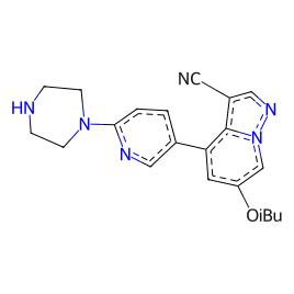 CC(C)COc1cc(-c2ccc(N3CCNCC3)nc2)c2c(C#N)cnn2c1